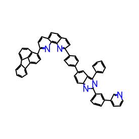 c1ccc(-c2nc(-c3cccc(-c4cccnc4)c3)nc3ccc(-c4ccc(-c5ccc6ccc7ccc(-c8ccc9c%10c(cccc8%10)-c8ccccc8-9)nc7c6n5)cc4)cc23)cc1